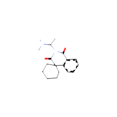 CC(N(C)C)N1C(=O)c2ccccc2C2(CCCCC2)C1=O